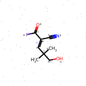 CC(C)(/C=C(\C#N)C(=O)I)CO